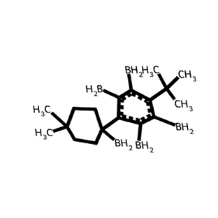 Bc1c(B)c(C2(B)CCC(C)(C)CC2)c(B)c(B)c1C(C)(C)C